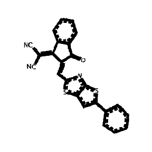 N#CC(C#N)=C1/C(=C/c2nc3sc(-c4ccccc4)cc3s2)C(=O)c2ccccc21